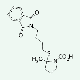 CC1(SCCCCN2C(=O)c3ccccc3C2=O)CCCN1C(=O)O